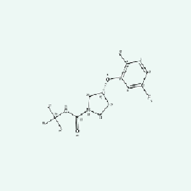 Cc1ccc(F)cc1O[C@@H]1CCN(C(=O)OC(C)(C)C)C1